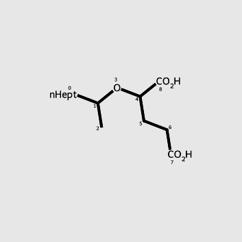 CCCCCCCC(C)OC(CCC(=O)O)C(=O)O